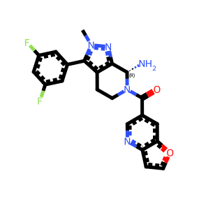 Cn1nc2c(c1-c1cc(F)cc(F)c1)CCN(C(=O)c1cnc3ccoc3c1)[C@H]2N